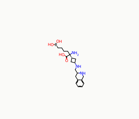 NC(CCCCB(O)O)(C(=O)O)[C@H]1C[C@@H](NCC2Cc3ccccc3CN2)C1